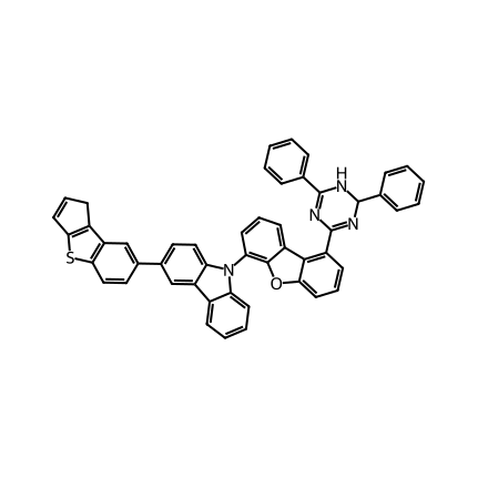 C1=Cc2sc3ccc(-c4ccc5c(c4)c4ccccc4n5-c4cccc5c4oc4cccc(C6=NC(c7ccccc7)NC(c7ccccc7)=N6)c45)cc3c2C1